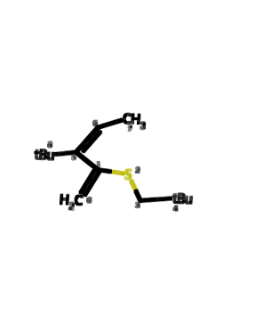 C=C(SCC(C)(C)C)/C(=C\C)C(C)(C)C